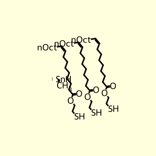 CCCCCCCC/C=C\CCCCCCCC(=O)OCCS.CCCCCCCC/C=C\CCCCCCCC(=O)OCCS.CCCCCCCC/C=C\CCCCCCCC(=O)OCCS.[CH3][SnH]